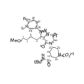 COCCCCc1c(C(=O)N(CC(C)C)[C@H]2C[C@@H](C(=O)NC(C)(C)C)CN(C(=O)O)C2)nnn1-c1ccc(F)c(C)c1